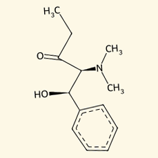 CCC(=O)[C@H]([C@H](O)c1ccccc1)N(C)C